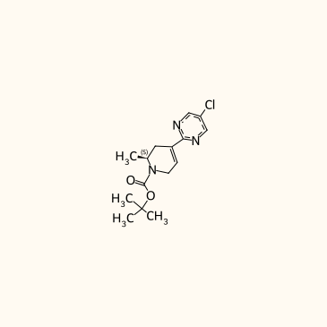 C[C@H]1CC(c2ncc(Cl)cn2)=CCN1C(=O)OC(C)(C)C